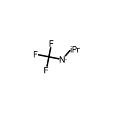 CC(C)[N]C(F)(F)F